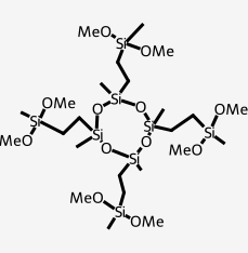 CO[Si](C)(CC[Si]1(C)O[Si](C)(CC[Si](C)(OC)OC)O[Si](C)(CC[Si](C)(OC)OC)O[Si](C)(CC[Si](C)(OC)OC)O1)OC